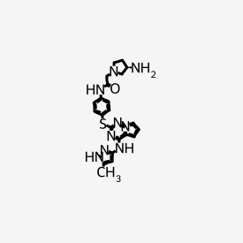 Cc1cc(Nc2nc(Sc3ccc(NC(=O)CN4CC[C@@H](N)C4)cc3)nn3cccc23)n[nH]1